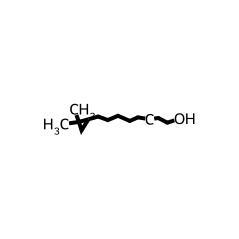 CC1(C)CC1CCCCCCCCO